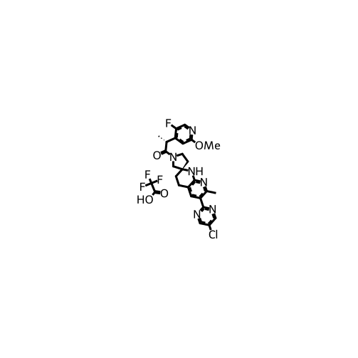 COc1cc([C@@H](C)C(=O)N2CC[C@@]3(CCc4cc(-c5ncc(Cl)cn5)c(C)nc4N3)C2)c(F)cn1.O=C(O)C(F)(F)F